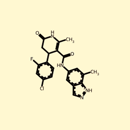 CC1=C(C(=O)Nc2cc(C)c3[nH]ncc3c2)C(c2ccc(Cl)cc2F)CC(=O)N1